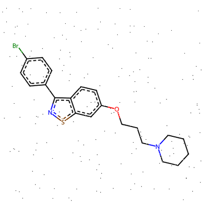 Brc1ccc(-c2nsc3cc(OCCCN4CCCCC4)ccc23)cc1